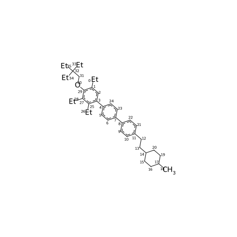 CCc1cc(-c2ccc(-c3ccc(CCC4CCC(C)CC4)cc3)cc2)c(CC)c(CC)c1OCC(CC)(CC)CC